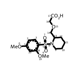 COc1ccc(S(=O)(=O)N2CCCCC2COCC(=O)O)c(OC)c1